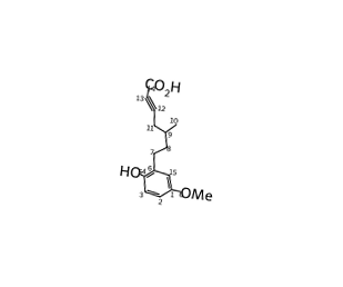 COc1ccc(O)c(CCC(C)CC#CC(=O)O)c1